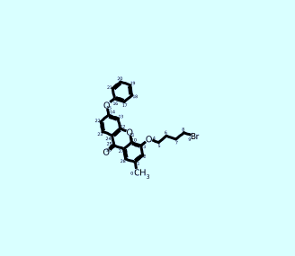 Cc1cc(OCCCCBr)c2oc3cc(Oc4ccccc4)ccc3c(=O)c2c1